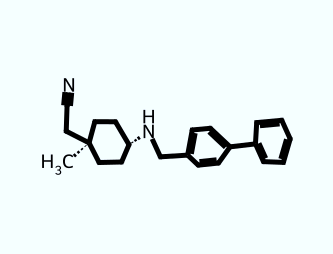 C[C@]1(CC#N)CC[C@H](NCc2ccc(-c3ccccc3)cc2)CC1